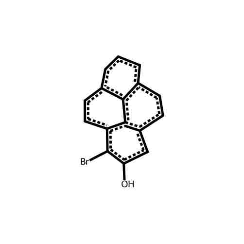 Oc1cc2ccc3cccc4ccc(c1Br)c2c34